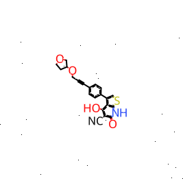 N#Cc1c(O)c2c(-c3ccc(C#CCOC4CCOC4)cc3)csc2[nH]c1=O